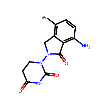 CC(C)c1ccc(N)c2c1CN(N1CCC(=O)NC1=O)C2=O